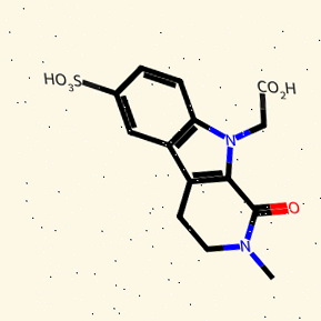 CN1CCc2c(n(CC(=O)O)c3ccc(S(=O)(=O)O)cc23)C1=O